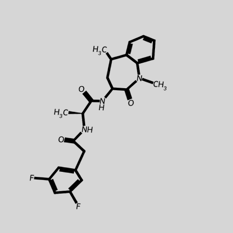 CC1CC(NC(=O)[C@H](C)NC(=O)Cc2cc(F)cc(F)c2)C(=O)N(C)c2ccccc21